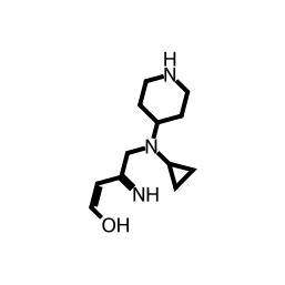 N=C(/C=C\O)CN(C1CCNCC1)C1CC1